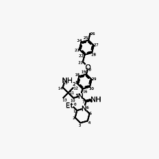 CCC1CCCCN1C(=N)N(CC(C)(C)CN)c1ccc(OCc2ccc(C)cc2)cc1